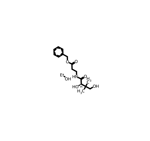 CC(C)(CO)[C@@H](O)C(=O)NCCC(=O)OCc1ccccc1.CCO